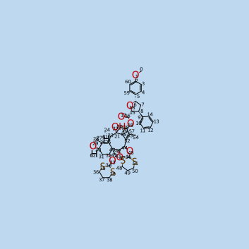 COc1ccc([C@@H]2C[C@@H](c3ccccc3)[C@H](C(=O)O[C@H]3C[C@@]4(O)[C@@H](C)[C@@H]5[C@]6(C)CO[C@@H]6C[C@H](OC6SCCCS6)[C@@]5(C)C(=O)[C@H](OC5SCCCS5)C(=C3C)C4(C)C)O2)cc1